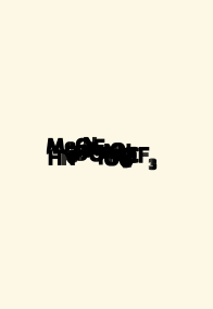 COc1c(OCC2CCNCC2)ccc2c(Oc3ccc(NC(=O)C(=O)NCc4ccccc4OC(F)(F)F)cc3F)ccnc12